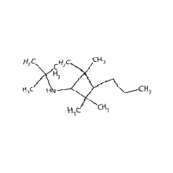 CCCC1C(C)(C)C(NC(C)(C)C)C1(C)C